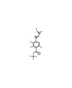 CCN(C)C=Nc1cc(C)c(C(=O)CC(C)(C)C)c(C)c1C